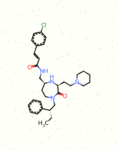 CC[C@@H](CN1CC[C@@H](CNC(=O)/C=C/c2ccc(Cl)cc2)N[C@@H](CCN2CCCCC2)C1=O)c1ccccc1